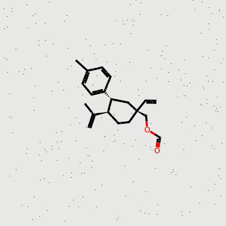 C=C[C@]1(COC=O)CC[C@@H](C(=C)C)[C@H](c2ccc(C)cc2)C1